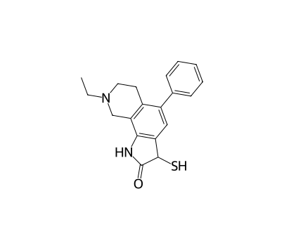 CCN1CCc2c(-c3ccccc3)cc3c(c2C1)NC(=O)C3S